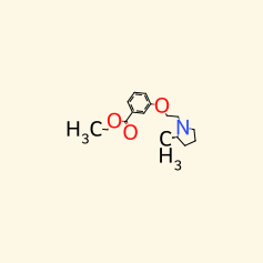 CCOC(=O)c1cccc(OCCN2CCC[C@H]2C)c1